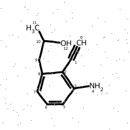 C#Cc1c(N)cccc1CC(C)O